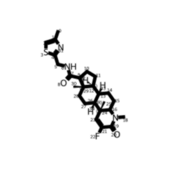 Cc1csc(CNC(=O)C2CC[C@H]3[C@@H]4CCC5N(C)C(=O)C(F)=C[C@]5(C)[C@@H]4CC[C@]23C)n1